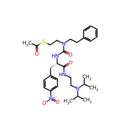 CC(=O)SCCN(CCc1ccccc1)C(=O)N[C@@H](Cc1ccc([N+](=O)[O-])cc1)C(=O)NCCN(C(C)C)C(C)C